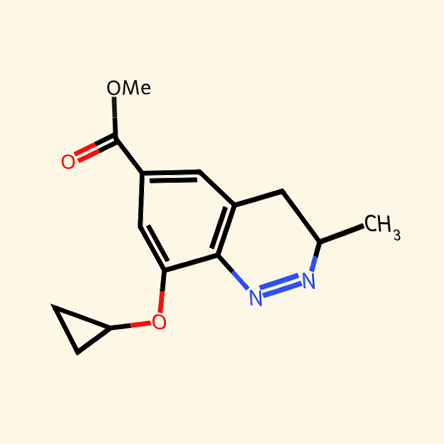 COC(=O)c1cc2c(c(OC3CC3)c1)N=NC(C)C2